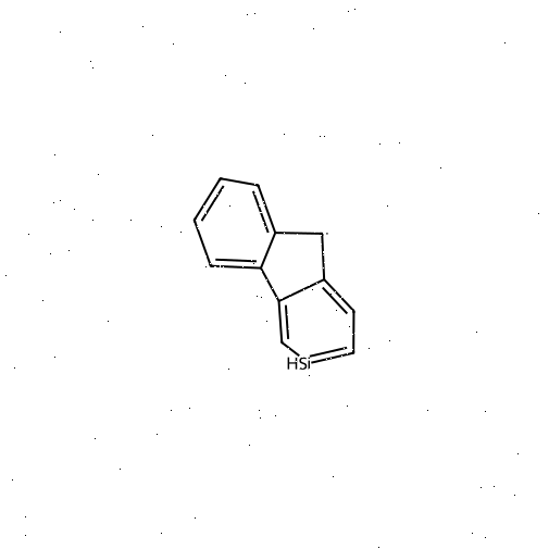 [CH]1c2ccccc2-c2c[siH]ccc21